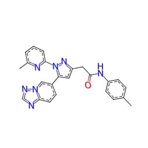 Cc1ccc(NC(=O)Cc2cc(-c3ccc4ncnn4c3)n(-c3cccc(C)n3)n2)cc1